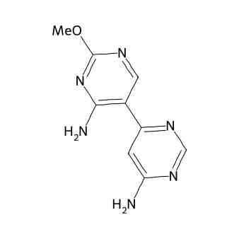 COc1ncc(-c2cc(N)ncn2)c(N)n1